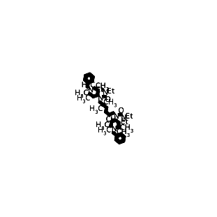 CCN(CC)C(=O)N(CC(C)CCC(C)(C)CN(C(=O)N(CC)CC)C1CC(C)(C)N(Cc2ccccc2)C(C)(C)C1)C1CC(C)(C)N(Cc2ccccc2)C(C)(C)C1